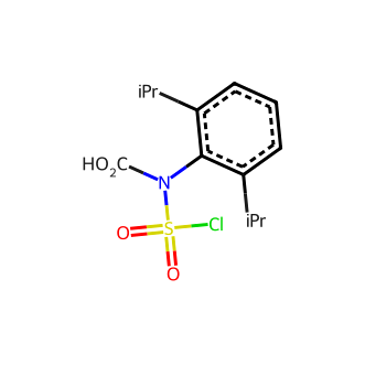 CC(C)c1cccc(C(C)C)c1N(C(=O)O)S(=O)(=O)Cl